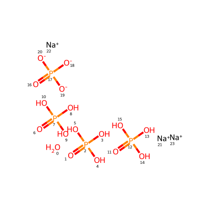 O.O=P(O)(O)O.O=P(O)(O)O.O=P(O)(O)O.O=P([O-])([O-])[O-].[Na+].[Na+].[Na+]